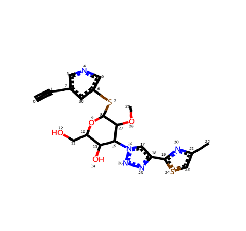 C#Cc1cncc(SC2OC(CO)C(O)C(n3cc(-c4nc(C)cs4)nn3)C2OC)c1